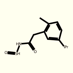 Cc1ccc(C(C)C)cc1CC(=O)N[SH]=O